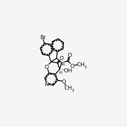 COC(=O)[C@@H]1C(c2ccccc2)C2(c3ccc(Br)cc3)Oc3cncc(OC)c3[C@@]1(O)C2=O